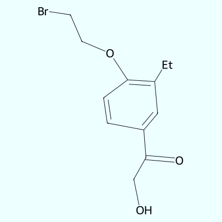 CCc1cc(C(=O)CO)ccc1OCCBr